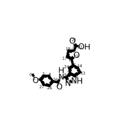 COc1ccc(C(=O)Nc2n[nH]c3ccc(-c4ccc(C(=O)O)o4)cc23)cc1